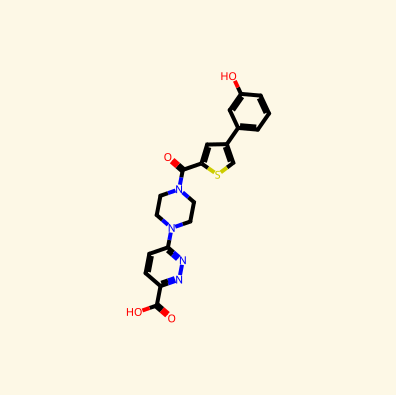 O=C(O)c1ccc(N2CCN(C(=O)c3cc(-c4cccc(O)c4)cs3)CC2)nn1